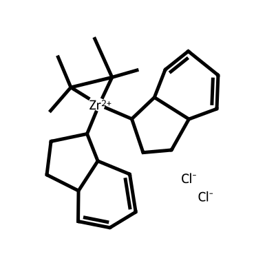 C[C]1(C)[C](C)(C)[Zr+2]1([CH]1CCC2C=CC=CC21)[CH]1CCC2C=CC=CC21.[Cl-].[Cl-]